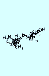 CC(=O)CNC(=O)C(NC(=O)CCSCc1cccc(CSCCN(C)C(=O)C2CCCN2C(=O)C(C)[C@@H]2CC2c2ccc(O)cc2)c1)[C@@H](C)CCCCN